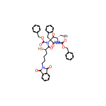 CNC(=O)[C@@](Cc1ccccc1)(C(=O)[C@H](CC(C)C)NC(=O)OCc1ccccc1)N(C(=O)OCc1ccccc1)C(=O)C(S)CCCCN1C(=O)c2ccccc2C1=O